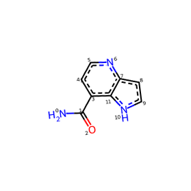 NC(=O)c1[c]cnc2cc[nH]c12